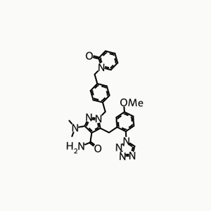 COc1ccc(-n2cnnn2)c(Cc2c(C(N)=O)c(N(C)C)nn2Cc2ccc(Cn3ccccc3=O)cc2)c1